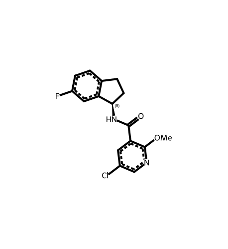 COc1ncc(Cl)cc1C(=O)N[C@@H]1CCc2ccc(F)cc21